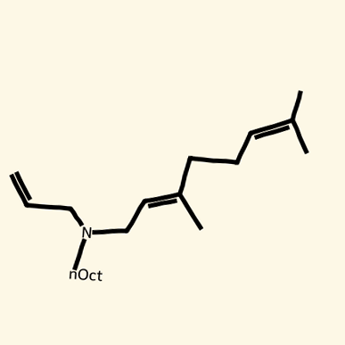 C=CCN(C/C=C(\C)CCC=C(C)C)CCCCCCCC